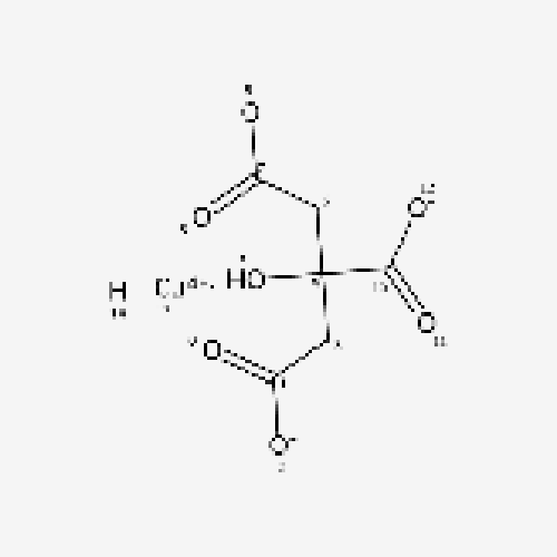 O=C([O-])CC(O)(CC(=O)[O-])C(=O)[O-].[Cu+4].[H-]